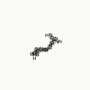 CC(C)C[C@H]1OCc2cc(O)ccc2[C@H]1c1ccc(N2CCC(CN3CCN(c4ccc5c(c4)CN([C@H]4CCC(=O)NC4=O)C5=O)CC3)CC2)cc1